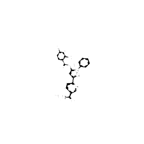 NC(=O)c1ccc(-c2cc(NC(=O)c3ccc(C(F)(F)F)cc3Cl)n(-c3ccccc3)n2)nc1